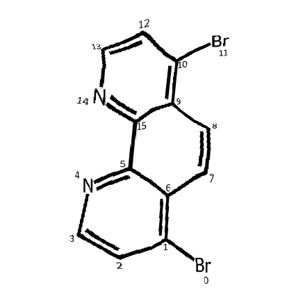 Brc1ccnc2c1ccc1c(Br)ccnc12